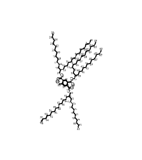 CCCCCCCCCCCCCCC(CCCCCCCCCCCC)COC(=O)c1cc(C(=O)OCC(CCCCCCCCCCCC)CCCCCCCCCCCCCC)c(C(=O)OCC(CCCCCCCCCCCC)CCCCCCCCCCCCCC)cc1C=O